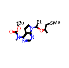 CCC(OC(C)CSC)n1ccc2c(N(C)C(=O)OC(C)(C)C)ncnc21